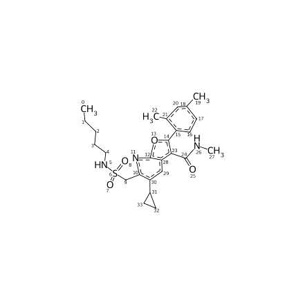 CCCCCNS(=O)(=O)Cc1nc2oc(-c3ccc(C)cc3C)c(C(=O)NC)c2cc1C1CC1